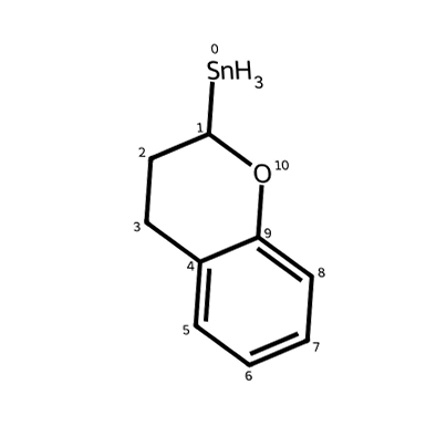 [SnH3][CH]1CCc2ccccc2O1